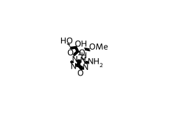 [2H]n1c(N)nc(=O)c2ncn([C@@H]3O[C@H](CO)[C@@H](O)[C@H]3OCCOC)c21